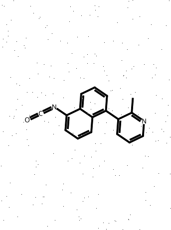 Cc1ncccc1-c1cccc2c(N=C=O)cccc12